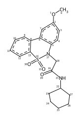 COc1ccc2c(c1)-c1ccccc1S(=O)(=O)N2CC(=O)NC1CCCCC1